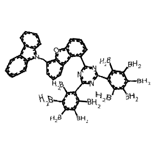 Bc1c(B)c(B)c(-c2nc(-c3c(B)c(B)c(B)c(B)c3B)nc(-c3cccc4oc5c(-n6c7ccccc7c7ccccc76)cccc5c34)n2)c(B)c1B